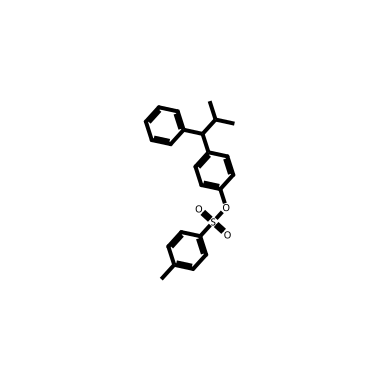 Cc1ccc(S(=O)(=O)Oc2ccc(C(c3ccccc3)C(C)C)cc2)cc1